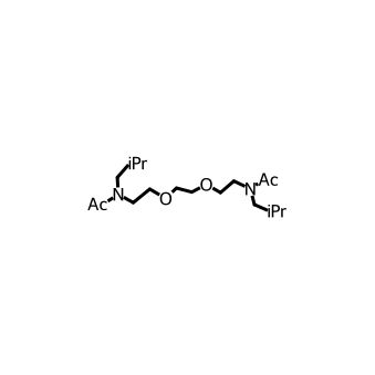 CC(=O)N(CCOCCOCCN(CC(C)C)C(C)=O)CC(C)C